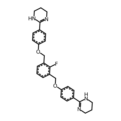 Fc1c(COc2ccc(C3=NCCCN3)cc2)cccc1COc1ccc(C2=NCCCN2)cc1